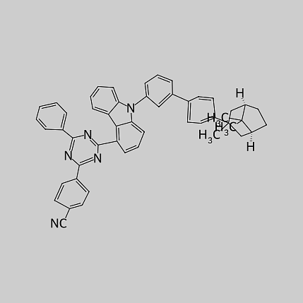 CC1(c2ccc(-c3cccc(-n4c5ccccc5c5c(-c6nc(-c7ccccc7)nc(-c7ccc(C#N)cc7)n6)cccc54)c3)cc2)C[C@H]2CC[C@@H](C1)C2(C)C